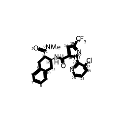 CNC(=O)[C@H]1Cc2ccccc2C[C@H]1NC(=O)c1cc(C(F)(F)F)nn1-c1ncccc1Cl